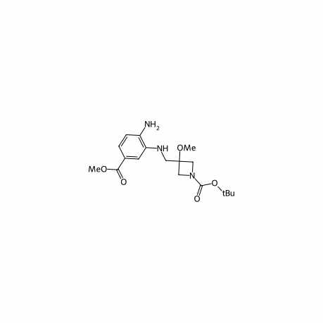 COC(=O)c1ccc(N)c(NCC2(OC)CN(C(=O)OC(C)(C)C)C2)c1